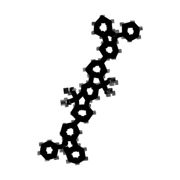 CC1(C)c2cc(-c3ccc4c(c3)c3ccccc3n4-c3ccccc3)ccc2-c2cc3c(cc21)-c1ccc(-c2ccc4c(c2)c2ccccc2n4-c2ccccc2)cc1C3(C)C